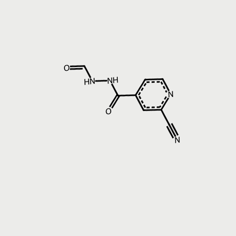 N#Cc1cc(C(=O)NNC=O)ccn1